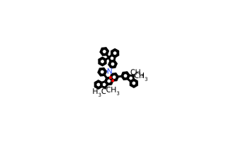 CC1(C)c2ccccc2-c2cc(-c3cccc(N(c4ccc5c(c4)C(c4ccccc4)(c4ccccc4)c4ccccc4-5)c4ccccc4-c4cccc5c4-c4ccccc4C5(C)C)c3)ccc21